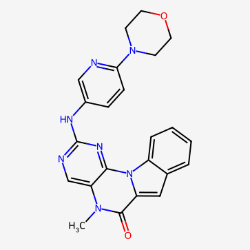 Cn1c(=O)c2cc3ccccc3n2c2nc(Nc3ccc(N4CCOCC4)nc3)ncc21